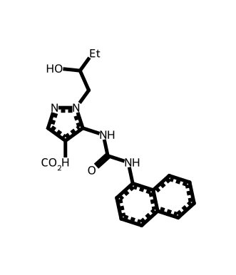 CCC(O)Cn1ncc(C(=O)O)c1NC(=O)Nc1cccc2ccccc12